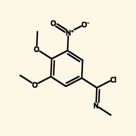 C/N=C(\Cl)c1cc(OC)c(OC)c([N+](=O)[O-])c1